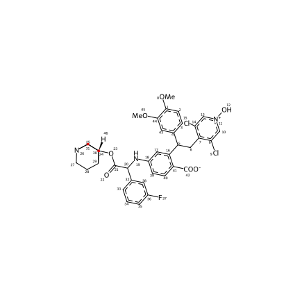 COc1ccc(C(Cc2c(Cl)c[n+](O)cc2Cl)c2cc(NC(C(=O)O[C@H]3CN4CCC3CC4)c3cccc(F)c3)ccc2C(=O)[O-])cc1OC